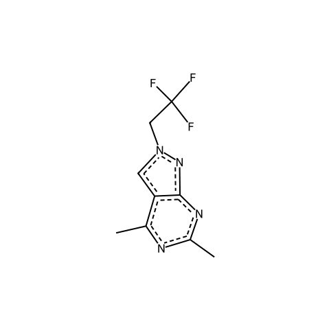 Cc1nc(C)c2cn(CC(F)(F)F)nc2n1